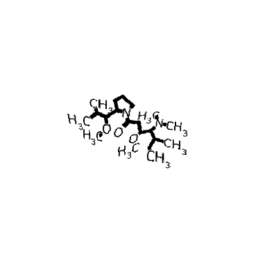 CCC(C)C(C(CC(=O)N1CCCC1C(OC)C(C)C)OC)N(C)C